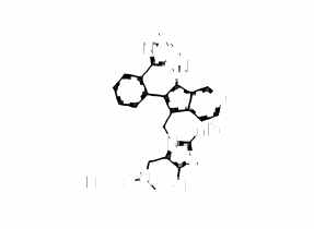 CCCCc1nc(Cl)c(CN(C)C(=O)O)n1Cc1c2ccocc-2c(Br)c1-c1ccccc1-c1nnn[nH]1